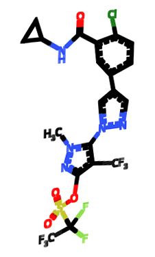 Cn1nc(OS(=O)(=O)C(F)(F)C(F)(F)F)c(C(F)(F)F)c1-n1cc(-c2ccc(Cl)c(C(=O)NC3CC3)c2)cn1